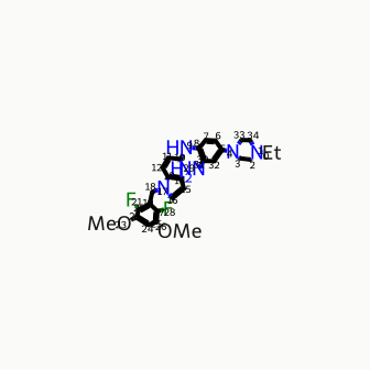 CCN1CCN(c2ccc(Nc3ccc4c(ccn4Cc4c(F)c(OC)cc(OC)c4F)n3)c(N)c2)CC1